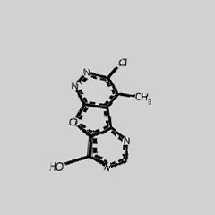 Cc1c(Cl)nnc2oc3c(O)ncnc3c12